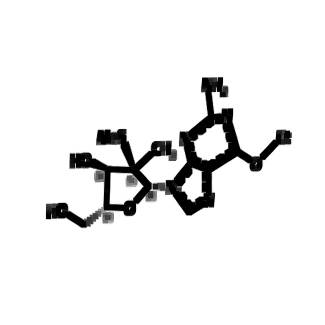 CCOc1nc(N)nc2c1ncn2[C@@H]1O[C@H](CO)[C@@H](O)[C@@]1(C)SC